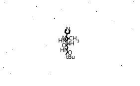 Cc1c(-c2ccncc2)n[nH]c1NC(=O)CNC(=O)CC(C)(C)C